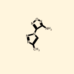 Cc1cn(-c2nonc2N)nn1